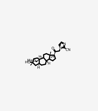 COC[C@]12CC[C@@](C)(O)C[C@@H]1CC[C@H]1[C@@H]3CC[C@H](C(=O)Cn4ccnc4C#N)[C@@]3(C)CC[C@@H]12